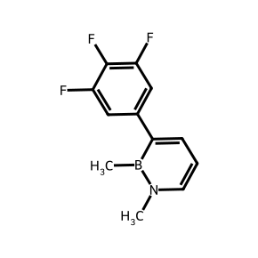 CB1C(c2cc(F)c(F)c(F)c2)=CC=CN1C